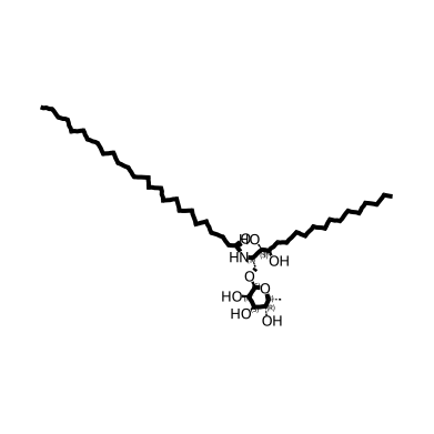 CCCCCCCCCCCCCCCCCCCCCCCCCC(=O)N[C@@H](CO[C@H]1O[C@H](C)[C@H](O)[C@H](O)[C@H]1O)[C@H](O)[C@H](O)CCCCCCCCCCCCCC